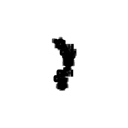 CC1CCC(NC(=O)NS(=O)(=O)c2ccc(CCNC(=O)N3Cc4ccsc4C3=O)cc2)CC1